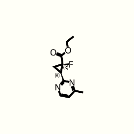 CCOC(=O)[C@@]1(F)C[C@@H]1c1nccc(C)n1